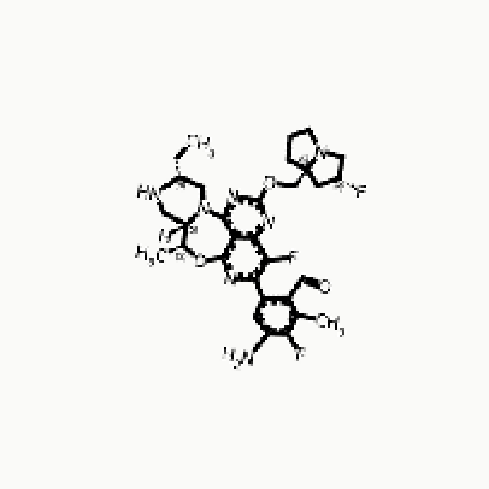 CC[C@@H]1CN2c3nc(OC[C@@]45CCCN4C[C@H](F)C5)nc4c(F)c(-c5cc(N)c(F)c(C)c5C=O)nc(c34)O[C@@H](C)[C@@H]2CN1